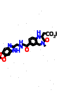 CN1Cc2cc(C(=O)CNCc3nc4cc5c(cc4[nH]3)OCO5)ccc2NC(CC(=O)O)C1=O